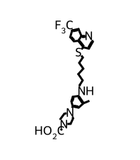 Cc1cc(N2CCN(C(=O)O)CC2)ccc1NCCCCCCSc1ccnc2cc(C(F)(F)F)ccc12